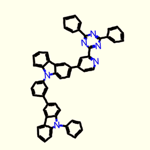 c1ccc(-c2nc(-c3ccccc3)nc(-c3cc(-c4ccc5c(c4)c4ccccc4n5-c4cccc(-c5ccc6c(c5)c5ccccc5n6-c5ccccc5)c4)ccn3)n2)cc1